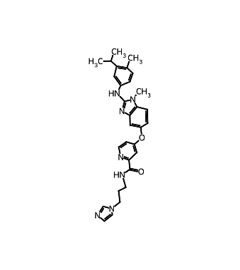 Cc1ccc(Nc2nc3cc(Oc4ccnc(C(=O)NCCCn5ccnc5)c4)ccc3n2C)cc1C(C)C